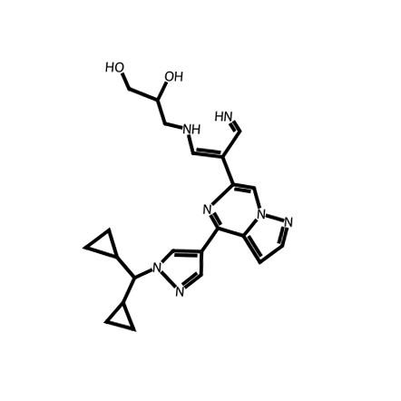 N=C/C(=C\NCC(O)CO)c1cn2nccc2c(-c2cnn(C(C3CC3)C3CC3)c2)n1